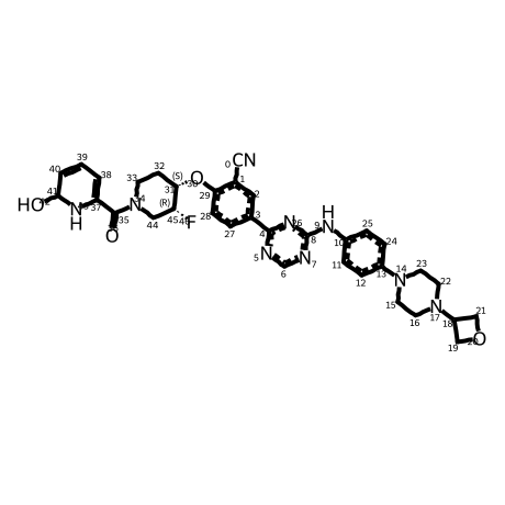 N#Cc1cc(-c2ncnc(Nc3ccc(N4CCN(C5COC5)CC4)cc3)n2)ccc1O[C@H]1CCN(C(=O)C2=CC=CC(O)N2)C[C@H]1F